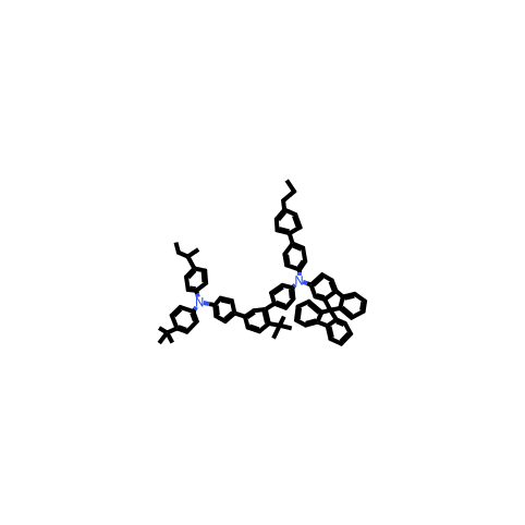 CCCc1ccc(-c2ccc(N(c3ccc(-c4cc(-c5ccc(N(c6ccc(C(C)CC)cc6)c6ccc(C(C)(C)C)cc6)cc5)ccc4C(C)(C)C)cc3)c3ccc4c(c3)C3(c5ccccc5-c5ccccc53)c3ccccc3-4)cc2)cc1